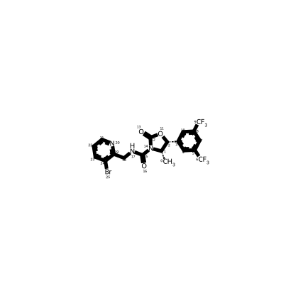 C[C@H]1[C@@H](c2cc(C(F)(F)F)cc(C(F)(F)F)c2)OC(=O)N1C(=O)NCc1ncccc1Br